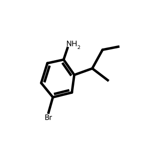 CCC(C)c1cc(Br)ccc1N